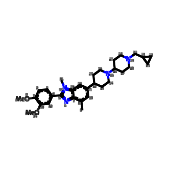 COc1ccc(-c2nc3c(C)cc(C4CCN(C5CCN(CC6CC6)CC5)CC4)cc3n2C)cc1OC